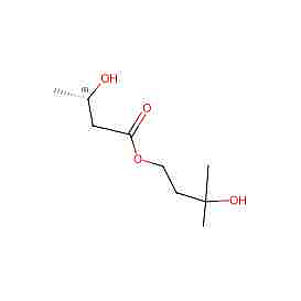 C[C@H](O)CC(=O)OCCC(C)(C)O